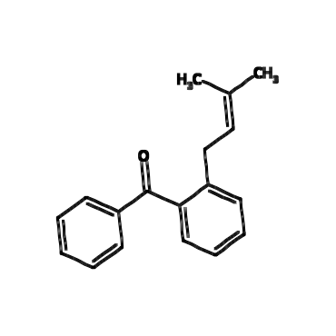 CC(C)=CCc1ccccc1C(=O)c1ccccc1